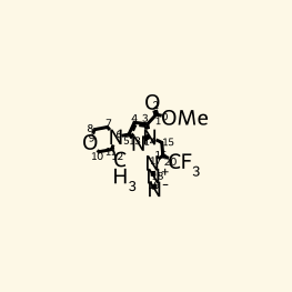 COC(=O)c1cc(N2CCOC[C@H]2C)nn1CC(N=[N+]=[N-])C(F)(F)F